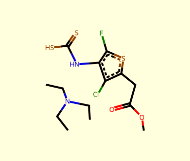 CCN(CC)CC.COC(=O)Cc1sc(F)c(NC(=S)S)c1Cl